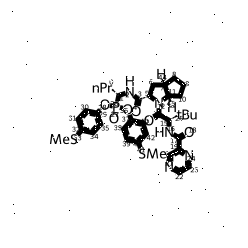 CCC[C@H](NC(=O)[C@@H]1C[C@@H]2CCC[C@@H]2N1C(=O)[C@@H](NC(=O)c1cnccn1)C(C)(C)C)P(=O)(Oc1ccc(SC)cc1)Oc1ccc(SC)cc1